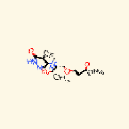 COC(=O)CCOC[C@@H](Nc1cn[nH]c(=O)c1C(F)(F)F)[C@H](C)O